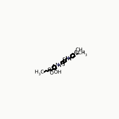 CCCCOC(=O)c1ccc(/N=N/c2cc3sc(/N=N/c4ccc(N(CC)CC)cc4)cc3s2)cc1O